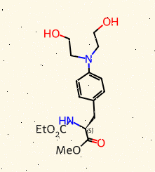 CCOC(=O)N[C@@H](Cc1ccc(N(CCO)CCO)cc1)C(=O)OC